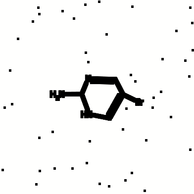 NC1N=CC(Br)=CN1